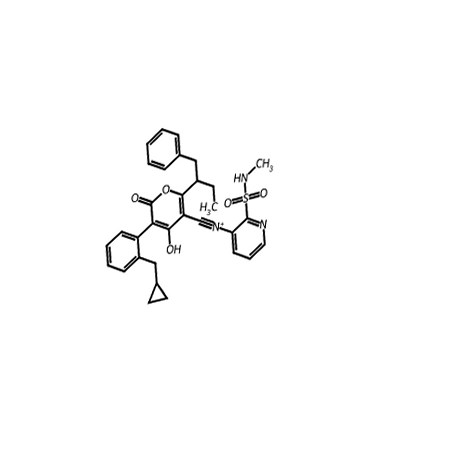 CCC(Cc1ccccc1)c1oc(=O)c(-c2ccccc2CC2CC2)c(O)c1C#[N+]c1cccnc1S(=O)(=O)NC